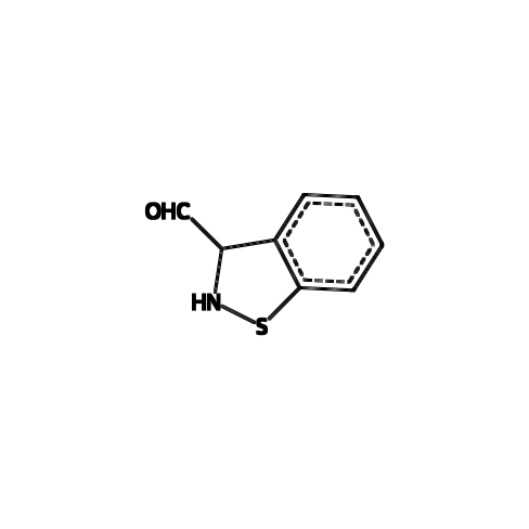 O=CC1NSc2ccccc21